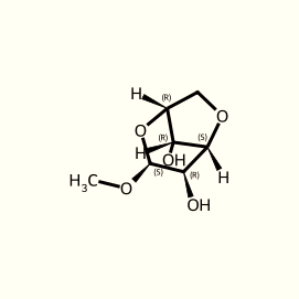 CO[C@H]1O[C@@H]2CO[C@H]([C@H]1O)[C@@H]2O